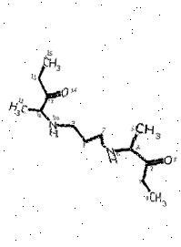 CCC(=O)C(C)NCCCNC(C)C(=O)CC